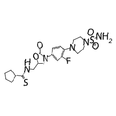 NS(=O)(=O)N1CCN(c2ccc(N3CC(CNC(=S)C4CCCC4)OC3=O)cc2F)CC1